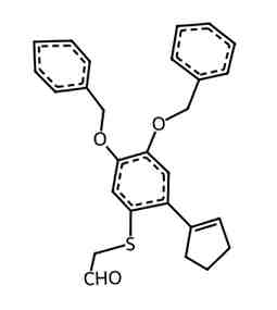 O=CCSc1cc(OCc2ccccc2)c(OCc2ccccc2)cc1C1=CCCC1